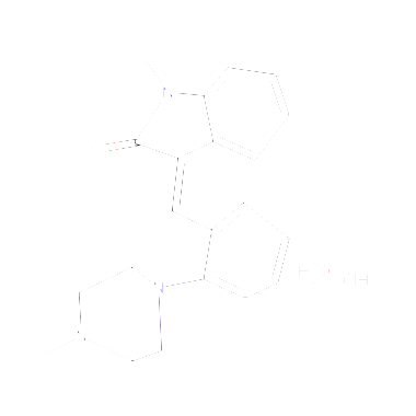 CN1CCN(c2ccccc2/C=C2/C(=O)N(C)c3ccccc32)CC1.Cl.O